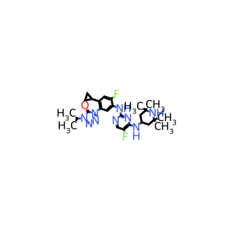 CC(C)n1nnn(-c2cc(Nc3ncc(F)c(NC4CC(C)(C)NC(C)(C)C4)n3)c(F)cc2C2CC2)c1=O